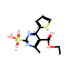 CCOC(=O)c1c(C)nc(S(=O)(=O)O)nc1-c1cccs1